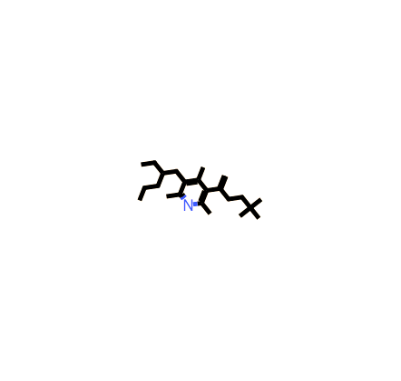 C=C(CCC(C)(C)C)c1c(C)nc(C)c(CC(CC)CCC)c1C